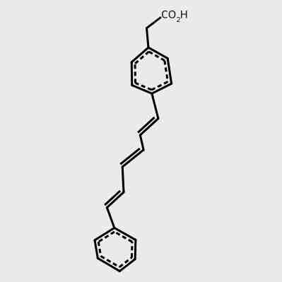 O=C(O)Cc1ccc(C=CC=CC=Cc2ccccc2)cc1